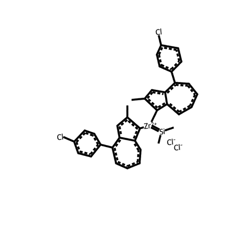 Cc1cc2c(-c3ccc(Cl)cc3)ccccc-2[c]1[Zr+2]([c]1c(C)cc2c(-c3ccc(Cl)cc3)ccccc1-2)=[Si](C)C.[Cl-].[Cl-]